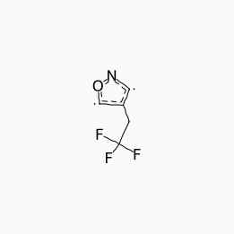 FC(F)(F)Cc1[c]no[c]1